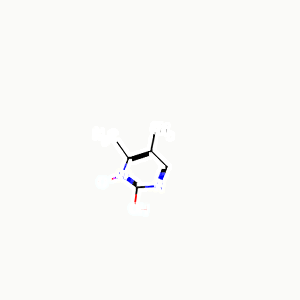 Cc1cnc(O)[n+]([O-])c1C